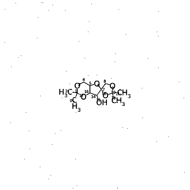 CC1(C)OCC2OC3(COC(C)(C)O3)C(O)C2O1